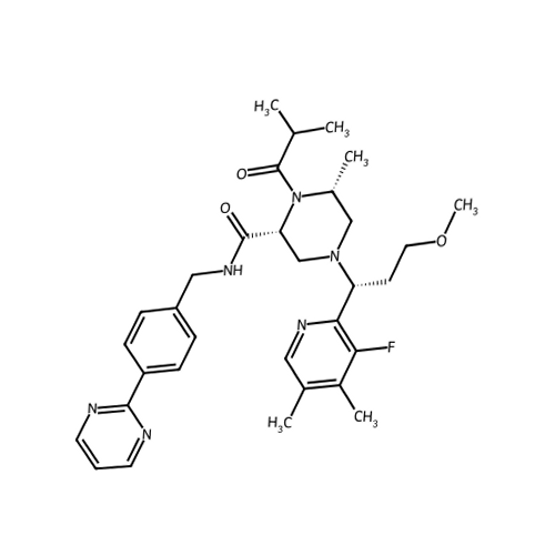 COCC[C@H](c1ncc(C)c(C)c1F)N1C[C@@H](C)N(C(=O)C(C)C)[C@@H](C(=O)NCc2ccc(-c3ncccn3)cc2)C1